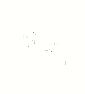 Cc1cccc(Cl)c1Nc1nc2cc(C(=O)Nc3ccc(Br)cc3)ccc2n1C